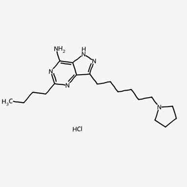 CCCCc1nc(N)c2[nH]nc(CCCCCCN3CCCC3)c2n1.Cl